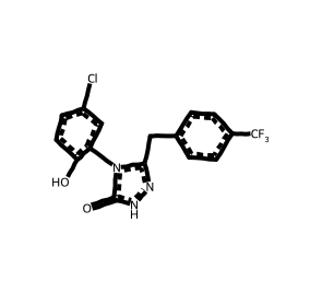 O=c1[nH]nc(Cc2ccc(C(F)(F)F)cc2)n1-c1cc(Cl)ccc1O